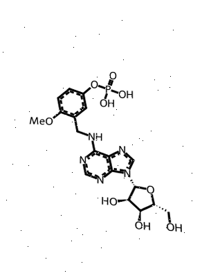 COc1ccc(OP(=O)(O)O)cc1CNc1ncnc2c1ncn2[C@@H]1O[C@H](CO)[C@@H](O)[C@H]1O